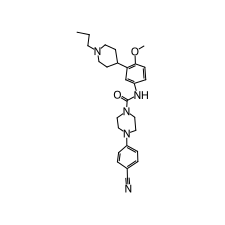 CCCN1CCC(c2cc(NC(=O)N3CCN(c4ccc(C#N)cc4)CC3)ccc2OC)CC1